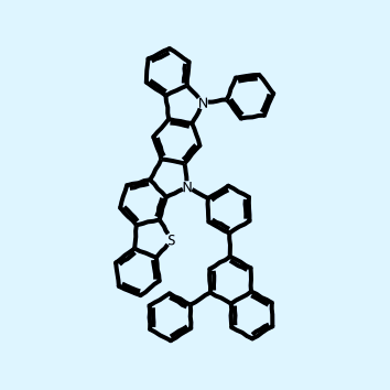 c1ccc(-c2cc(-c3cccc(-n4c5cc6c(cc5c5ccc7c8ccccc8sc7c54)c4ccccc4n6-c4ccccc4)c3)cc3ccccc23)cc1